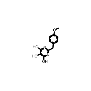 COc1ccc(Cc2nc(O)c(O)c(O)n2)cc1